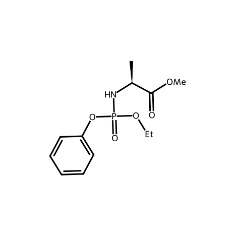 CCOP(=O)(N[C@@H](C)C(=O)OC)Oc1ccccc1